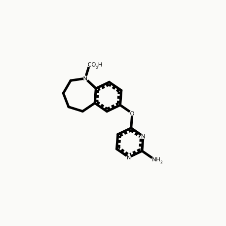 Nc1nccc(Oc2ccc3c(c2)CCCCN3C(=O)O)n1